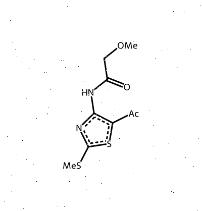 COCC(=O)Nc1nc(SC)sc1C(C)=O